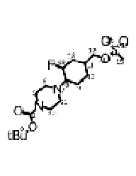 CC(C)(C)OC(=O)N1CCN(C2CCC(COS(C)(=O)=O)CC2F)CC1